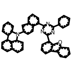 c1ccc(-c2nc(-c3cccc4cc(N5c6ccccc6-c6cccc7cccc5c67)ccc34)nc(-c3cccc4c3oc3ccccc34)n2)cc1